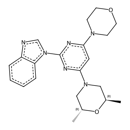 C[C@@H]1CN(c2cc(N3CCOCC3)nc(-n3cnc4ccccc43)n2)C[C@@H](C)O1